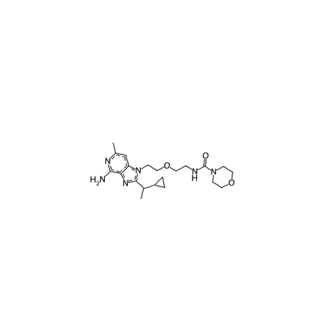 Cc1cc2c(nc(C(C)C3CC3)n2CCOCCNC(=O)N2CCOCC2)c(N)n1